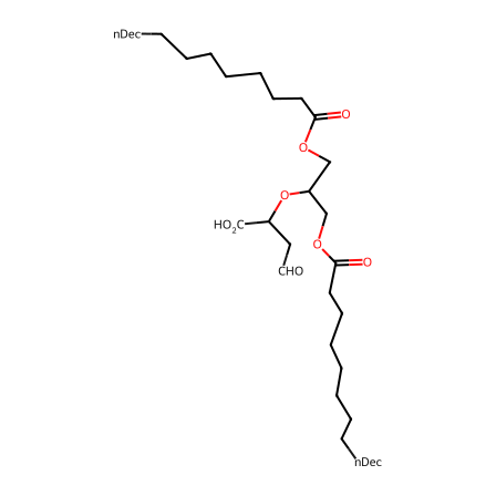 CCCCCCCCCCCCCCCCCC(=O)OCC(COC(=O)CCCCCCCCCCCCCCCCC)OC(CC=O)C(=O)O